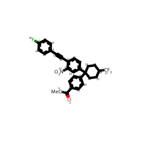 COC(=O)c1ccc(C2(c3ccc(C#Cc4ccc(F)cc4)c([N+](=O)[O-])c3)CCC(C(F)(F)F)CC2)cc1